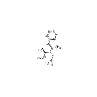 C=C(C(=O)O)C(CC1CO1)C(C)=Cc1ccccc1